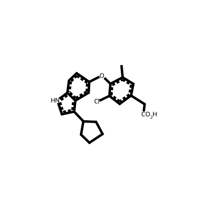 Cc1cc(CC(=O)O)cc(Cl)c1Oc1ccc2[nH]cc(C3CCCC3)c2c1